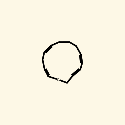 [C]1=CCC=CCCCC=CC=CCC1